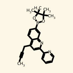 CC#CCc1cc(-c2ccccn2)nc2cc(B3OC(C)(C)C(C)(C)O3)ccc12